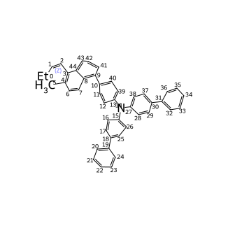 CC/C=C\c1c(C)ccc2c(-c3ccc(N(c4ccc(-c5ccccc5)cc4)c4ccc(-c5ccccc5)cc4)cc3)cccc12